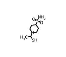 CC(S)N1CCC(S(N)(=O)=O)CC1